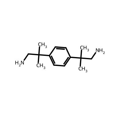 CC(C)(CN)c1ccc(C(C)(C)CN)cc1